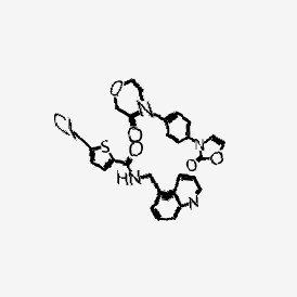 O=C(NCc1cccc2ncccc12)c1ccc(Cl)s1.O=C1COCCN1c1ccc(-n2ccoc2=O)cc1